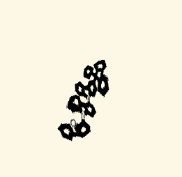 c1ccc(C2(c3ccc4c(c3)c3ccccc3n4-c3cccc4c3c3ccccc3n4-c3cccc4c3oc3ccccc34)c3ccccc3-c3ccccc32)cc1